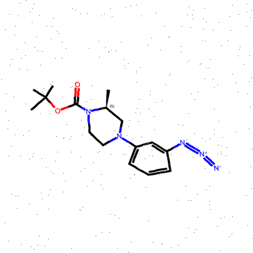 C[C@H]1CN(c2cccc(N=[N+]=[N-])c2)CCN1C(=O)OC(C)(C)C